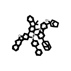 CCC1(c2ccc3c(c2)c2cc(C45CC6CC(CC(C6)C4)C5)cc4c2n3-c2c3c(cc5c2C(C)(C)c2ccccc2-5)-c2cc5oc6cc7ccccc7cc6c5cc2N(c2ccc(-c5ccccc5)cc2)B34)CC2CCC(C2)C1